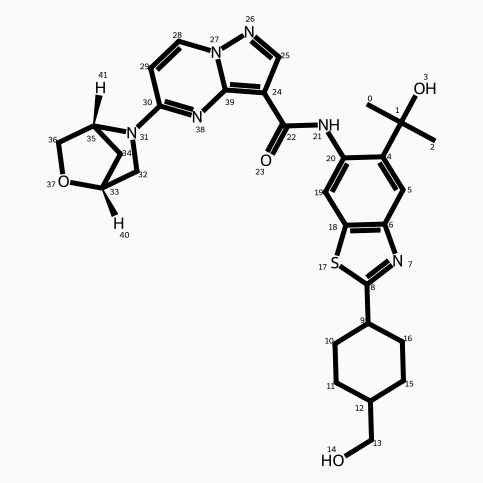 CC(C)(O)c1cc2nc(C3CCC(CO)CC3)sc2cc1NC(=O)c1cnn2ccc(N3C[C@H]4C[C@@H]3CO4)nc12